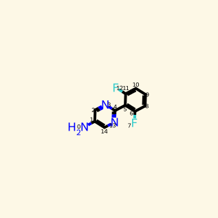 Nc1cnc(-c2c(F)cccc2F)nc1